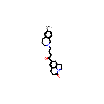 COc1ccc2c(c1)CCCN(CCCC(=O)c1cc3c4c(c1)CCN4C(=O)CC3)C2